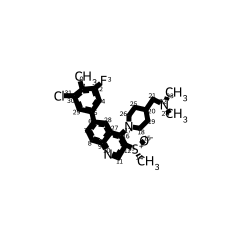 Cc1c(F)cc(-c2ccc3ncc([S+](C)[O-])c(N4CCC(CN(C)C)CC4)c3c2)cc1Cl